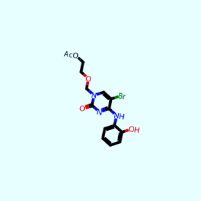 CC(=O)OCCOCn1cc(Br)c(Nc2ccccc2O)nc1=O